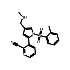 CNCc1cc(-c2cccnc2C#N)n(S(=O)(=O)c2ccccc2C)c1